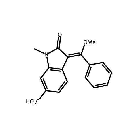 COC(=C1C(=O)N(C)c2cc(C(=O)O)ccc21)c1ccccc1